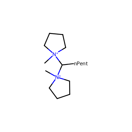 CCCCCC([N+]1(C)CCCC1)[N+]1(C)CCCC1